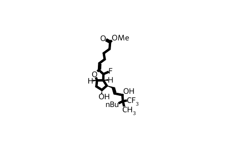 CCCCC(C)([C@H](O)C=C[C@@H]1[C@H]2C(F)C(=CCCCC(=O)OC)O[C@H]2C[C@H]1O)C(F)(F)F